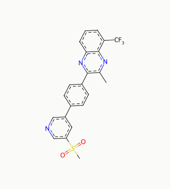 Cc1nc2c(C(F)(F)F)cccc2nc1-c1ccc(-c2cncc(S(C)(=O)=O)c2)cc1